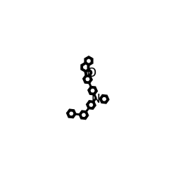 c1ccc(-c2cccc(-c3ccc(N(c4ccccc4)c4ccc(-c5ccc6c(c5)oc5c7ccccc7ccc65)cc4)cc3)c2)cc1